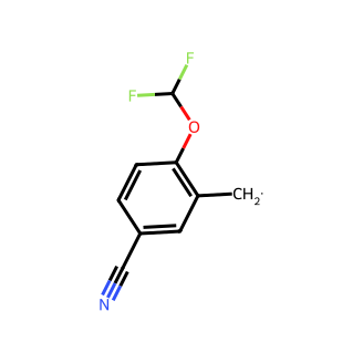 [CH2]c1cc(C#N)ccc1OC(F)F